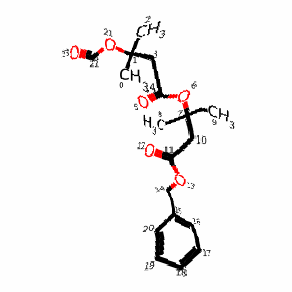 CC(C)(CC(=O)OC(C)(C)CC(=O)OCc1ccccc1)O[C]=O